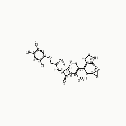 O=C(CSc1cc(Cl)c(Cl)cc1Cl)N[C@@H]1C(=O)N2C(C(=O)O)=C(C(CC3CC3)=C3CCNC3=O)CS[C@H]12